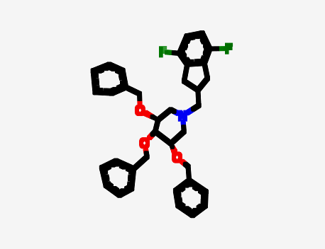 Fc1ccc(F)c2c1CC(CN1C[C@H](OCc3ccccc3)C(OCc3ccccc3)[C@H](OCc3ccccc3)C1)C2